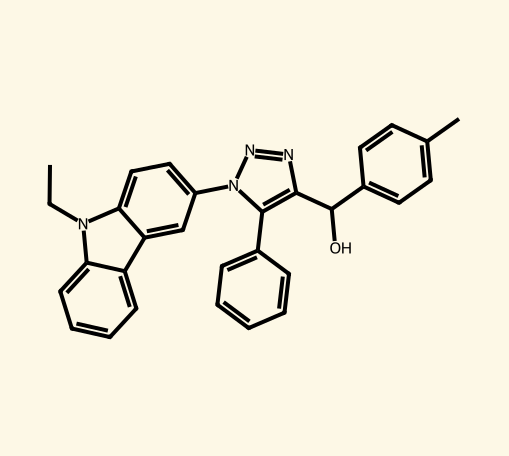 CCn1c2ccccc2c2cc(-n3nnc(C(O)c4ccc(C)cc4)c3-c3ccccc3)ccc21